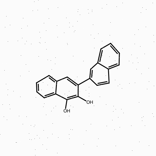 Oc1c(-c2ccc3ccccc3c2)cc2ccccc2c1O